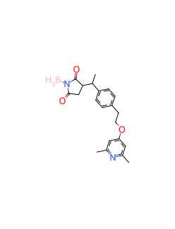 BN1C(=O)CC(C(C)c2ccc(CCOc3cc(C)nc(C)c3)cc2)C1=O